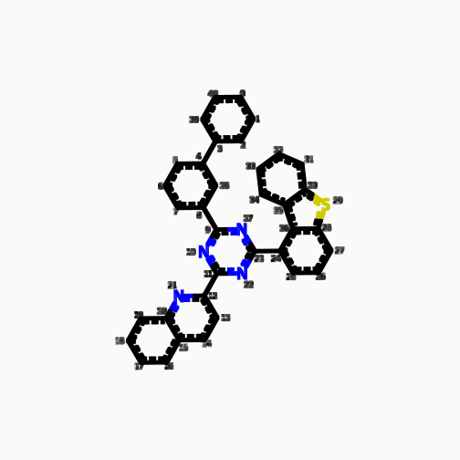 c1ccc(-c2cccc(-c3nc(-c4ccc5ccccc5n4)nc(-c4cccc5sc6ccccc6c45)n3)c2)cc1